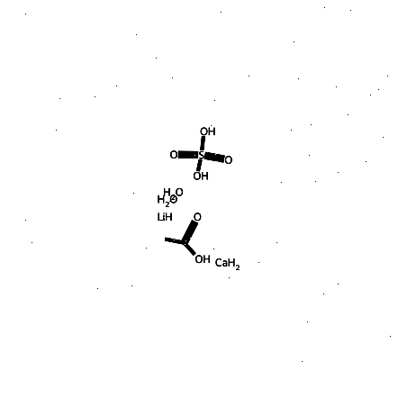 CC(=O)O.O.O.O=S(=O)(O)O.[CaH2].[LiH]